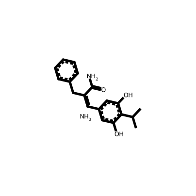 CC(C)c1c(O)cc(C=C(Cc2ccccc2)C(N)=O)cc1O.N